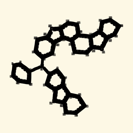 c1ccc(N(c2ccc3c(c2)sc2ccccc23)c2ccc3oc4ccc5c(ccc6oc7ccccc7c65)c4c3c2)cc1